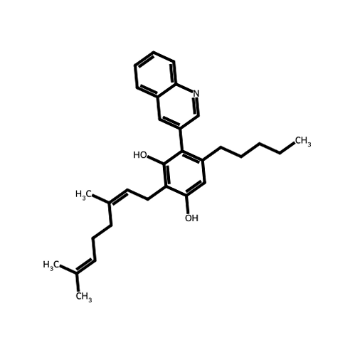 CCCCCc1cc(O)c(CC=C(C)CCC=C(C)C)c(O)c1-c1cnc2ccccc2c1